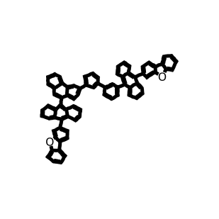 c1cc(-c2cccc(-c3c4ccccc4c(-c4ccc5c(c4)oc4ccccc45)c4ccccc34)c2)cc(-c2ccc3c(-c4c5ccccc5c(-c5ccc6c(c5)oc5ccccc56)c5ccccc45)cc4ccccc4c3c2)c1